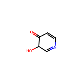 O=C1C=CN=CC1O